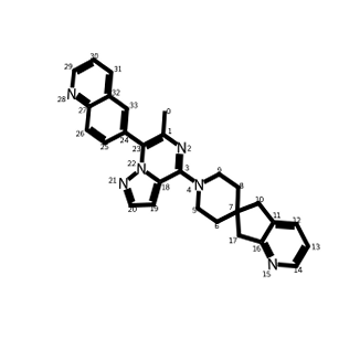 Cc1nc(N2CCC3(CC2)Cc2cccnc2C3)c2ccnn2c1-c1ccc2ncccc2c1